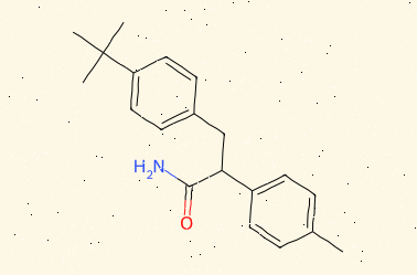 Cc1ccc(C(Cc2ccc(C(C)(C)C)cc2)C(N)=O)cc1